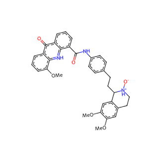 COc1cc2c(cc1OC)C(CCc1ccc(NC(=O)c3cccc4c(=O)c5cccc(OC)c5[nH]c34)cc1)[NH+]([O-])CC2